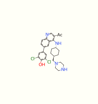 CC(=O)c1cnc2ccc(-c3cc(Cl)c(O)c(Cl)c3)cc2c1N[C@H]1CC[C@H](CN2CCNCC2)CC1